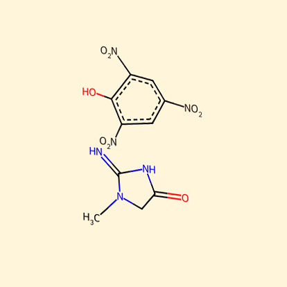 CN1CC(=O)NC1=N.O=[N+]([O-])c1cc([N+](=O)[O-])c(O)c([N+](=O)[O-])c1